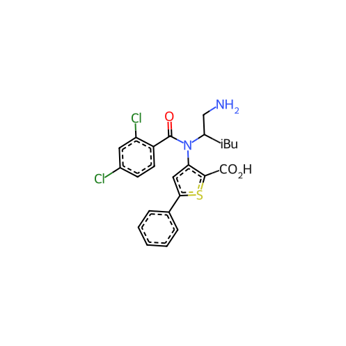 CCC(C)C(CN)N(C(=O)c1ccc(Cl)cc1Cl)c1cc(-c2ccccc2)sc1C(=O)O